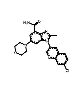 Cc1nc2c(C(N)=O)cc(N3CCOCC3)cc2n1-c1cnc2cc(Cl)ccc2c1